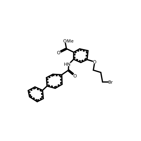 COC(=O)c1ccc(OCCCBr)cc1NC(=O)c1ccc(-c2ccccc2)cc1